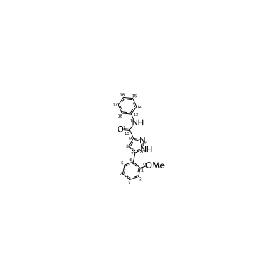 COc1ccccc1-c1cc(C(=O)Nc2ccccc2)n[nH]1